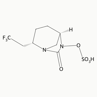 O=C1N2C[C@@H](CC[C@H]2CC(F)(F)F)N1OS(=O)(=O)O